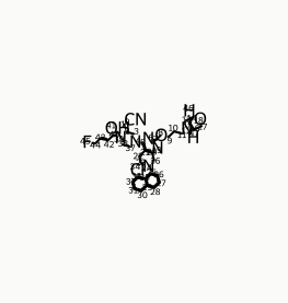 N#CC[C@H]1CN(c2nc(OCCCN3C[C@@H]4C[C@H]3CO4)nc3c2CCN(c2cccc4cccc(Cl)c24)C3)CCN1C(O)/C=C/CF